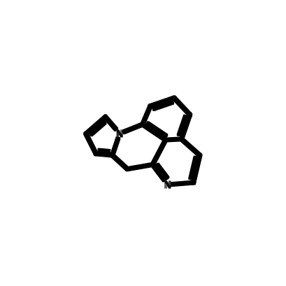 c1cc2c3c(nccc3c1)Cc1cccn1-2